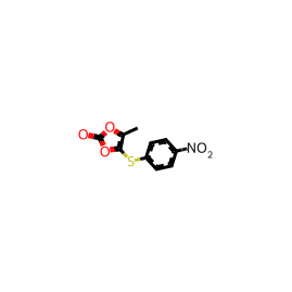 Cc1oc(=O)oc1Sc1ccc([N+](=O)[O-])cc1